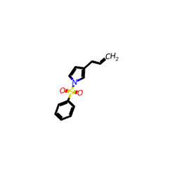 C=CCc1ccn(S(=O)(=O)c2ccccc2)c1